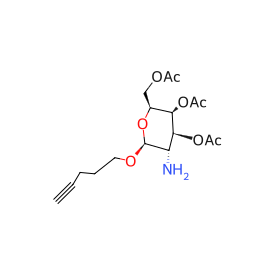 C#CCCCO[C@H]1O[C@@H](COC(C)=O)[C@@H](OC(C)=O)[C@@H](OC(C)=O)[C@@H]1N